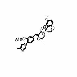 COc1cc(/C=C2\O[C@@H](C)CN3C2=NO[C@]32CCOc3ccc(F)cc32)ccc1-n1cnc(C)c1